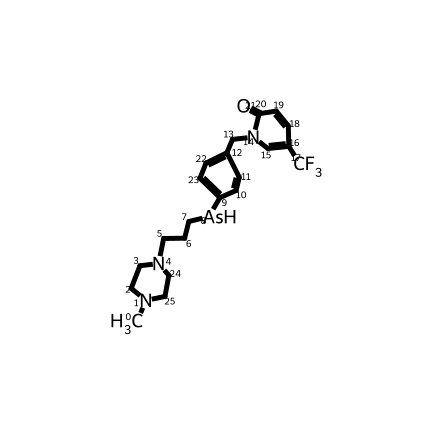 CN1CCN(CCC[AsH]c2ccc(Cn3cc(C(F)(F)F)ccc3=O)cc2)CC1